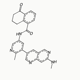 CNc1cc2ncc(-c3cc(NC(=O)c4cccc5c4CCCC5=O)cnc3C)cc2cn1